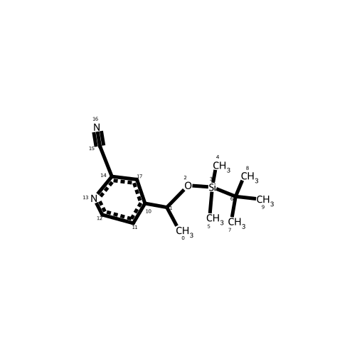 CC(O[Si](C)(C)C(C)(C)C)c1ccnc(C#N)c1